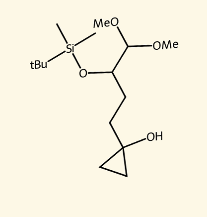 COC(OC)C(CCC1(O)CC1)O[Si](C)(C)C(C)(C)C